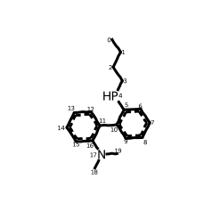 CCCCPc1ccccc1-c1ccccc1N(C)C